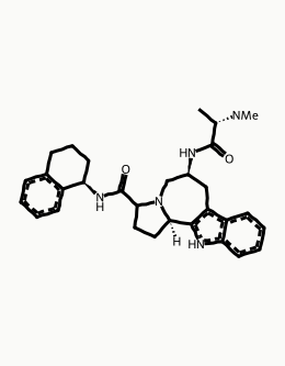 CN[C@@H](C)C(=O)N[C@H]1Cc2c([nH]c3ccccc23)[C@H]2CCC(C(=O)N[C@@H]3CCCc4ccccc43)N2C1